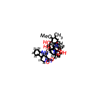 COc1c(C)cc2c(c1O)[C@H]1C3[C@@H]4SC[C@]5(NCCc6c5[nH]c5ccccc65)C(=O)OC[C@@H](c5c6c(c(C)c(O)c54)OCO6)N3[C@@H](O)[C@H](C2)N1C